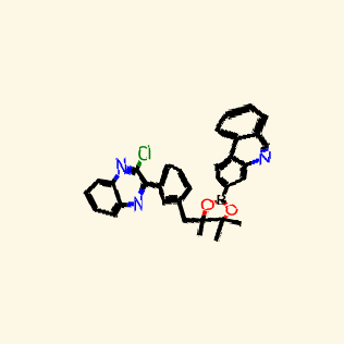 CC1(C)OB(c2ccc3c(c2)ncc2ccccc23)OC1(C)Cc1cccc(-c2nc3ccccc3nc2Cl)c1